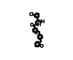 N=C(CNC(=O)c1ccnc(Cc2ccc(Cn3ccccc3=O)cc2)c1)c1cccc(Cl)c1